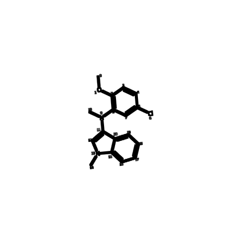 COc1ccc(Cl)cc1N(C)c1cn(C)c2ccccc12